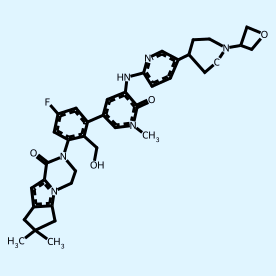 Cn1cc(-c2cc(F)cc(N3CCn4c(cc5c4CC(C)(C)C5)C3=O)c2CO)cc(Nc2ccc(C3CCN(C4COC4)CC3)cn2)c1=O